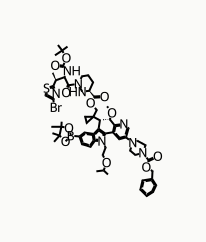 CO[C@@H](C)c1ncc(N2CCN(C(=O)OCc3ccccc3)CC2)cc1-c1c(CC2(COC(=O)[C@@H]3CCCN(C(=O)[C@@H](NC(=O)OC(C)(C)C)[C@H](C)c4nc(Br)cs4)N3)CC2)c2cc(B3OC(C)(C)C(C)(C)O3)ccc2n1CCOC(C)C